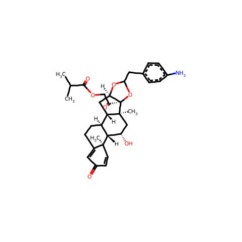 CC(C)C(=O)OCC(=O)[C@@]12OC(Cc3ccc(N)cc3)O[C@@H]1C[C@H]1[C@@H]3CCC4=CC(=O)C=C[C@]4(C)[C@H]3[C@@H](O)C[C@@]12C